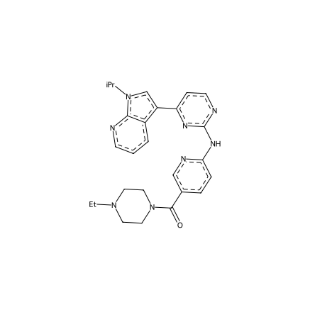 CCN1CCN(C(=O)c2ccc(Nc3nccc(-c4cn(C(C)C)c5ncccc45)n3)nc2)CC1